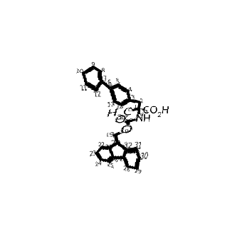 C[C@@](Cc1ccc(-c2ccccc2)cc1)(NC(=O)OCC1c2ccccc2-c2ccccc21)C(=O)O